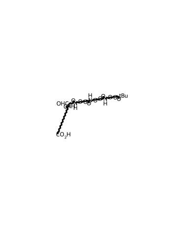 CC(C)(C)C(=O)COCCOCCNC(=O)COCCOCCNC(=O)COCCOCCNC(=O)CCC(C=O)NC(=O)CCCCCCCCCCCCCCCCC(=O)O